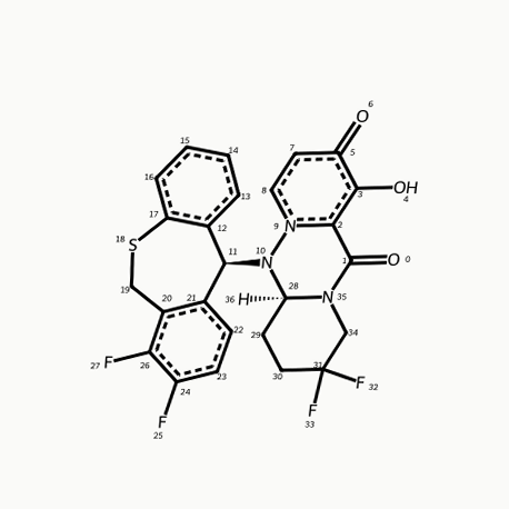 O=C1c2c(O)c(=O)ccn2N([C@@H]2c3ccccc3SCc3c2ccc(F)c3F)[C@@H]2CCC(F)(F)CN12